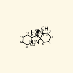 CC1(C)CCCCC1(N)N(N)C1CCCCC1